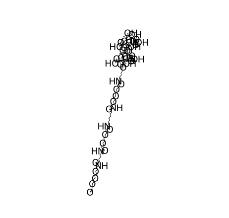 CC1C(OC2C(C(=O)O)OC(OC3C(COS(=O)(=O)O)OC(OC4C(C(=O)O)OC(OCCCCCCNC(=O)CCOCCOCCOCCNC(=O)CCCCCCCNC(=O)CCOCCCOCCC(=O)NCCCCCC(=O)NCCOCCOCCOCCC=O)C(O)C4O)C(C)C3O)C(O)C2O)OC(COS(=O)(=O)O)C(O)C1O